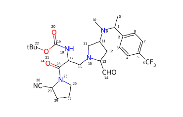 CC(c1ccc(C(F)(F)F)cc1)N(C)C1CC(C=O)N(CC(NC(=O)OC(C)(C)C)C(=O)N2CCCC2C#N)C1